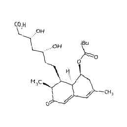 CCC(C)C(=O)O[C@H]1CC(C)=CC2=CC(=O)[C@@H](C)[C@@H](CC[C@@H](O)C[C@@H](O)CC(=O)O)[C@H]21